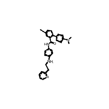 Cc1ccc(-c2ccc(N(C)C)cc2)c(C(=O)Nc2ccc(NCCc3ccccn3)cc2)c1